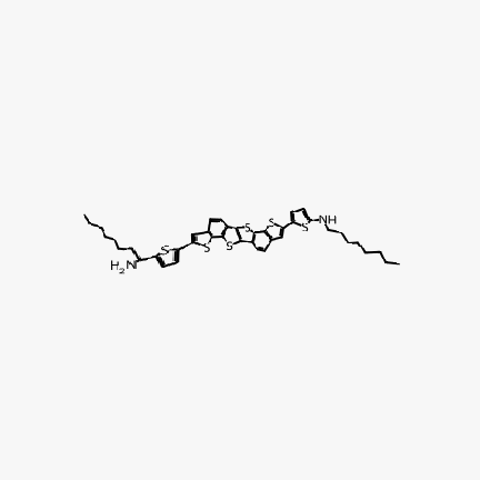 CCCCCCCCNc1ccc(-c2cc3ccc4c(sc5c6ccc7cc(-c8ccc(C(N)CCCCCCC)s8)sc7c6sc45)c3s2)s1